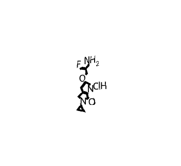 Cl.NCC(=CF)COc1cnc2c(c1)CN(C1CC1)C2=O